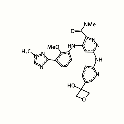 CNC(=O)c1nnc(Nc2ccc(C3(O)COC3)cn2)cc1Nc1cccc(-c2ncn(C)n2)c1OC